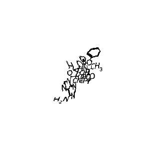 CC(C)OC(=O)[C@@H](C)NP(=O)(Oc1ccccc1)OC1[C@H]2O[C@@H](n3cnc4c(N)ncnc43)[C@](C)(C#N)[C@@]12O